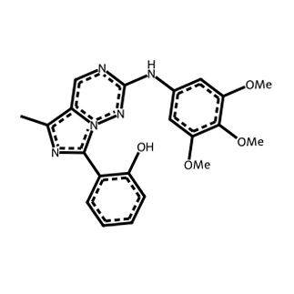 COc1cc(Nc2ncc3c(C)nc(-c4ccccc4O)n3n2)cc(OC)c1OC